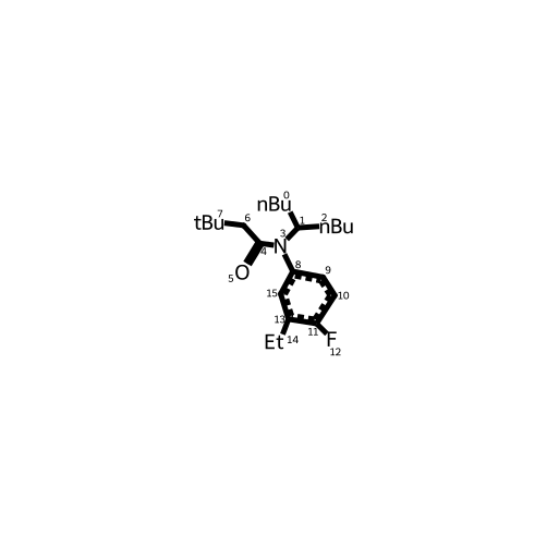 CCCCC(CCCC)N(C(=O)CC(C)(C)C)c1ccc(F)c(CC)c1